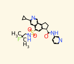 CC(C)(F)CNS(=O)(=O)c1cc2c(c3cnc(C4CC4)cc13)CC[C@H]2C(=O)Nc1cccnc1